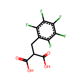 O=C(O)C(Cc1c(F)c(F)c(F)c(F)c1F)C(=O)O